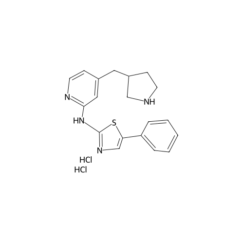 Cl.Cl.c1ccc(-c2cnc(Nc3cc(CC4CCNC4)ccn3)s2)cc1